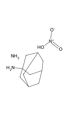 N.NC12CC3CC(CC(C3)C1)C2.O=[N+]([O-])O